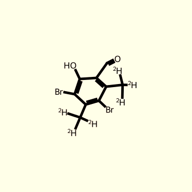 [2H]C([2H])([2H])c1c(Br)c(O)c(C=O)c(C([2H])([2H])[2H])c1Br